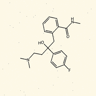 CNC(=O)c1ccccc1CC(O)(CCN(C)C)c1ccc(F)cc1